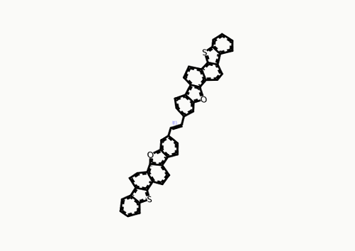 C(=C\c1ccc2c(c1)oc1c2ccc2c1ccc1c3ccccc3sc12)/c1ccc2c(c1)oc1c2ccc2c1ccc1c3ccccc3sc12